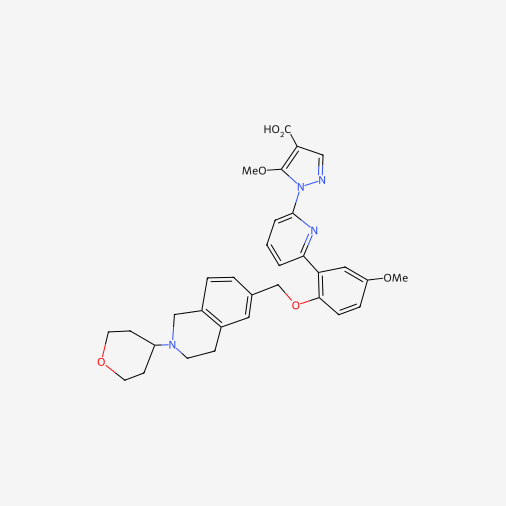 COc1ccc(OCc2ccc3c(c2)CCN(C2CCOCC2)C3)c(-c2cccc(-n3ncc(C(=O)O)c3OC)n2)c1